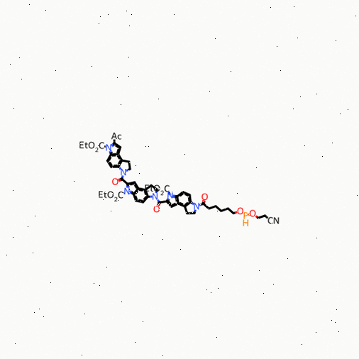 CCOC(=O)n1c(C(=O)N2CCc3c2ccc2c3cc(C(=O)N3CCc4c3ccc3c4cc(C(C)=O)n3C(=O)OCC)n2C(=O)OCC)cc2c3c(ccc21)N(C(=O)CCCCCOPOCCC#N)CC3